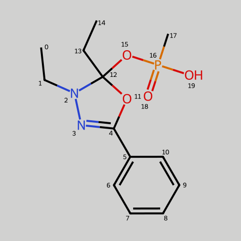 CCN1N=C(c2ccccc2)OC1(CC)OP(C)(=O)O